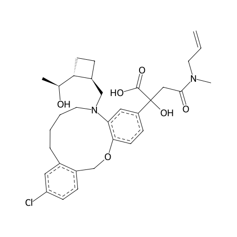 C=CCN(C)C(=O)CC(O)(C(=O)O)c1ccc2c(c1)N(C[C@@H]1CC[C@H]1[C@H](C)O)CCCCc1cc(Cl)ccc1CO2